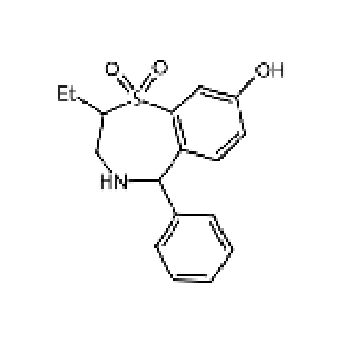 CCC1CNC(c2ccccc2)c2ccc(O)cc2S1(=O)=O